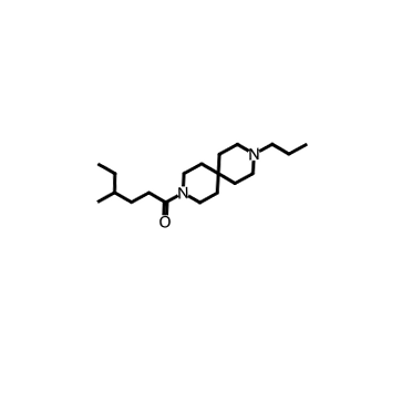 CCCN1CCC2(CC1)CCN(C(=O)CCC(C)CC)CC2